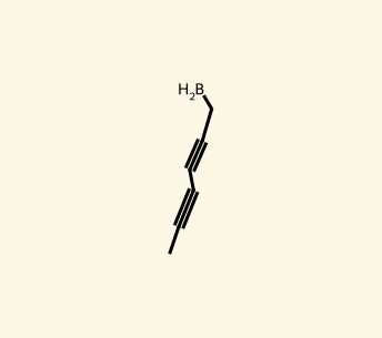 BCC#CC#CC